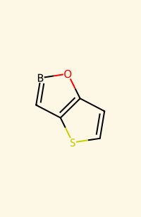 b1cc2sccc2o1